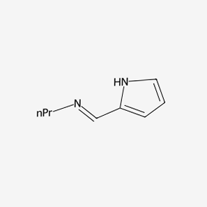 CCC/N=C/c1ccc[nH]1